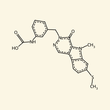 CSc1ccc2c3cnn(Cc4cccc(NC(=O)O)c4)c(=O)c3n(C)c2c1